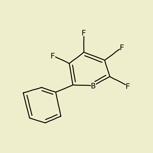 Fc1bc(-c2ccccc2)c(F)c(F)c1F